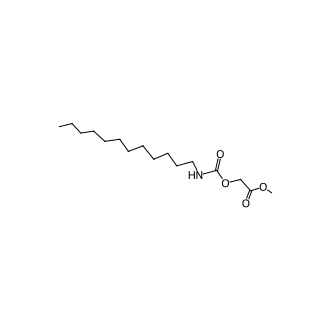 CCCCCCCCCCCCNC(=O)OCC(=O)OC